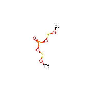 CCOSO[P](=O)OSOCC